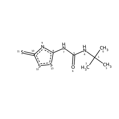 CC(C)(C)NC(=O)Nc1nc(=S)ss1